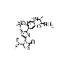 CS(=O)(=O)O.C[C@H](Nc1ccc2c(c1)OCCn1cc(N3C(=O)SC[C@H]3C(F)F)nc1-2)C(N)=O